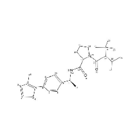 Cc1ncsc1-c1ccc([C@H](C)NC(=O)C2CCCN2C(=O)C(C(C)C)C(C)(C)C)cc1